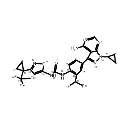 Nc1ncnc2c1c(-c1ccc(NC(=O)Nc3cc(C4(C(F)(F)F)CC4)no3)c(C(F)F)c1)nn2C1CC1